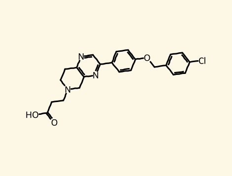 O=C(O)CCN1CCc2ncc(-c3ccc(OCc4ccc(Cl)cc4)cc3)nc2C1